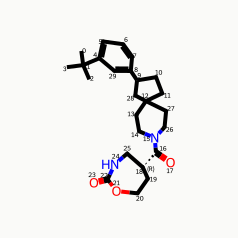 CC(C)(C)c1cccc(C2CCC3(CCN(C(=O)[C@@H]4CCOC(=O)NC4)CC3)C2)c1